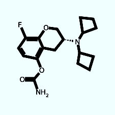 NC(=O)Oc1ccc(F)c2c1C[C@@H](N(C1CCC1)C1CCC1)CO2